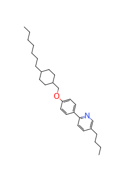 CCCCCCCC1CCC(COc2ccc(-c3ccc(CCCC)cn3)cc2)CC1